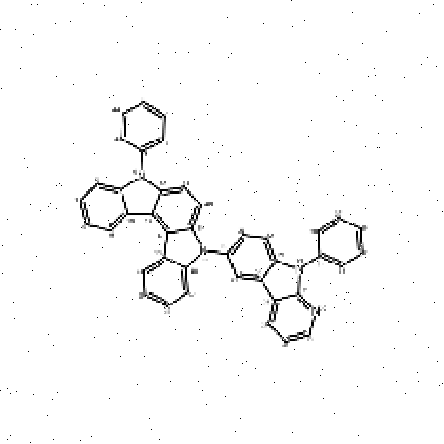 c1ccc(-n2c3ccccc3c3c4c5ccccc5n(-c5ccc6c(c5)c5cccnc5n6-c5ccccc5)c4ccc32)cc1